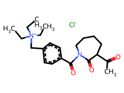 CC[N+](CC)(CC)Cc1ccc(C(=O)N2CCCCC(C(C)=O)C2=O)cc1.[Cl-]